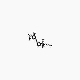 CCCCC/C(F)=C(\F)c1cccc(CCc2cc(F)c(CCC)c(F)c2)c1